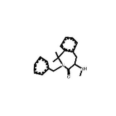 CNC1Cc2ccccc2C(C)(C)N(Cc2ccccc2)C1=O